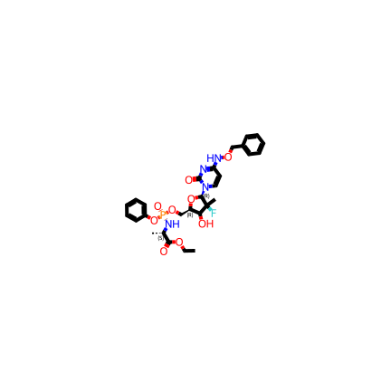 CCOC(=O)[C@H](C)NP(=O)(OC[C@H]1O[C@@H](n2ccc(NOCc3ccccc3)nc2=O)C(C)(F)C1O)Oc1ccccc1